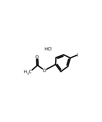 CC(=O)Oc1ccc(I)cc1.Cl